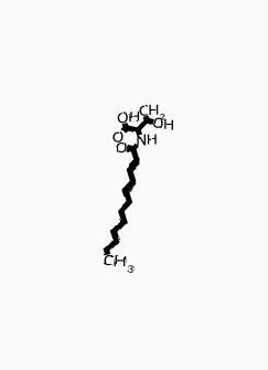 CCCCCCCC=CC=CC(=O)NC(C(=O)O)C(C)O